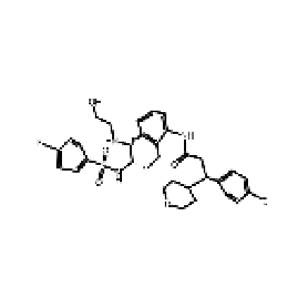 O=C(CC(c1ccc(Cl)cc1)C1CCOCC1)Nc1cccc(F)c1CC[C@@H](CNCCO)NS(=O)(=O)c1ccc(F)cc1